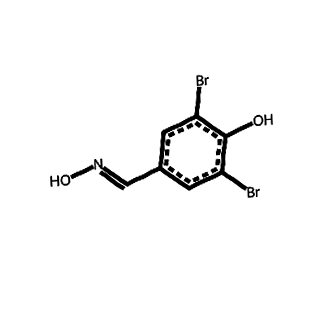 ON=Cc1cc(Br)c(O)c(Br)c1